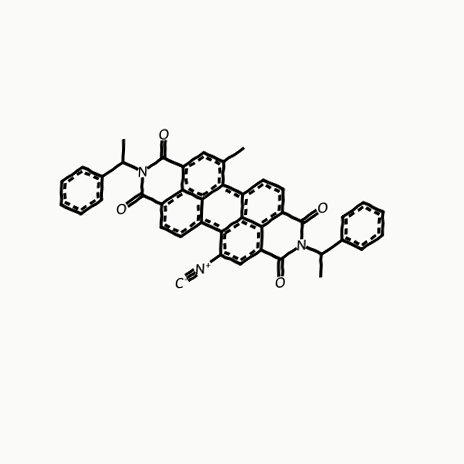 [C-]#[N+]c1cc2c3c(ccc4c5c(C)cc6c7c(ccc(c1c34)c75)C(=O)N(C(C)c1ccccc1)C6=O)C(=O)N(C(C)c1ccccc1)C2=O